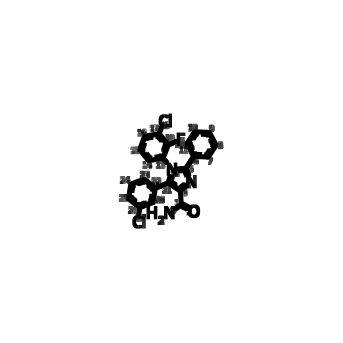 NC(=O)c1nc(-c2ccccc2)n(-c2cccc(Cl)c2F)c1-c1cccc(Cl)c1